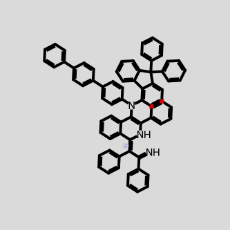 N=C(/C(=C1\NC(c2ccccc2)=C(N(c2ccc(-c3ccc(-c4ccccc4)cc3)cc2)c2cccc3c2-c2ccccc2C3(c2ccccc2)c2ccccc2)c2ccccc21)c1ccccc1)c1ccccc1